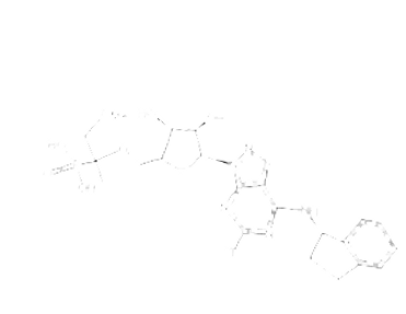 COCC(C)(OCC1O[C@H](n2nnc3c(N[C@@H]4CCc5ccccc54)nc(Cl)nc32)[C@H](O)[C@@H]1O)P(=O)(O)O